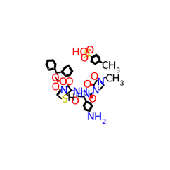 CCN1CCN(C(=O)N[C@@H](C(=O)N[C@@H]2C(=O)N3C(OC(=O)OC(c4ccccc4)c4ccccc4)=CCS[C@@H]23)c2ccc(N)cc2)C(=O)C1=O.Cc1ccc(S(=O)(=O)O)cc1